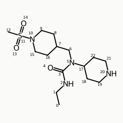 CCNC(=O)N(CC1CCN(S(C)(=O)=O)CC1)C1CCNCC1